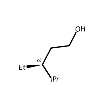 CC[C@@H](CCO)C(C)C